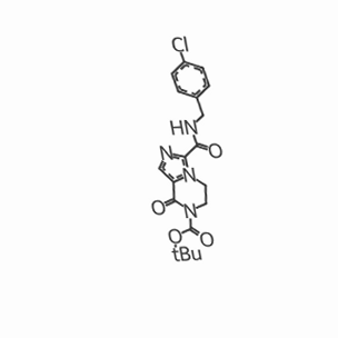 CC(C)(C)OC(=O)N1CCn2c(cnc2C(=O)NCc2ccc(Cl)cc2)C1=O